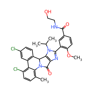 COc1ccc(C(=O)NCCO)cc1-c1nc2c(n1C(C)C)C1c3ccc(Cl)cc3-c3c(Cl)ccc(C)c3N1C2=O